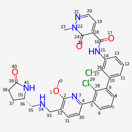 COc1nc(-c2cccc(-c3cccc(NC(=O)c4ccnn(C)c4=O)c3Cl)c2Cl)ccc1CNC[C@@H]1CCC(=O)N1